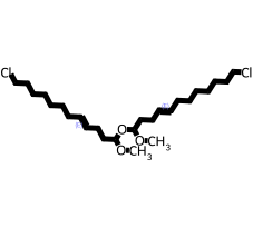 COC(CC/C=C/CCCCCCCCl)OC(CC/C=C/CCCCCCCCl)OC